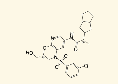 C[C@H](C(=O)Nc1cnc2c(c1)N(S(=O)(=O)c1cccc(Cl)c1)C[C@H](CO)O2)C1CC2CCCC2C1